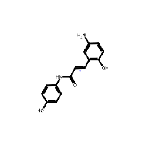 Nc1ccc(O)c(/C=C/C(=O)Nc2ccc(O)cc2)c1